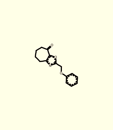 O=C1CCCCc2nc(COc3ccccc3)oc21